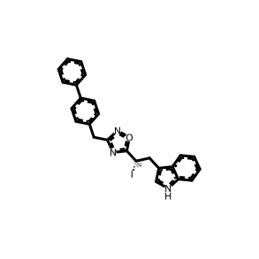 I[C@@H](Cc1c[nH]c2ccccc12)c1nc(Cc2ccc(-c3ccccc3)cc2)no1